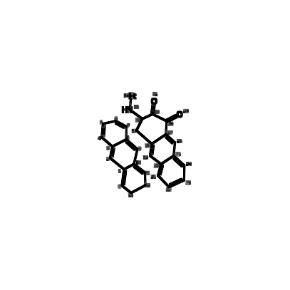 C1=c2cc3ccccc3cc2=CCC1.CCNC1Cc2cc3ccccc3cc2C(=O)C1=O